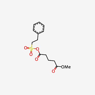 COC(=O)CCCC(=O)OS(=O)(=O)CCc1ccccc1